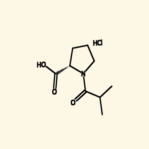 CC(C)C(=O)N1CCC[C@H]1C(=O)O.Cl